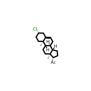 CC(=O)[C@H]1CC[C@H]2[C@@H]3CC=C4C[C@@H](Cl)CC[C@]4(C)[C@H]3CC[C@]12C